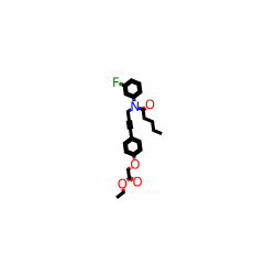 CCCCC(=O)N(CC#Cc1ccc(OCC(=O)OCC)cc1)c1cccc(F)c1